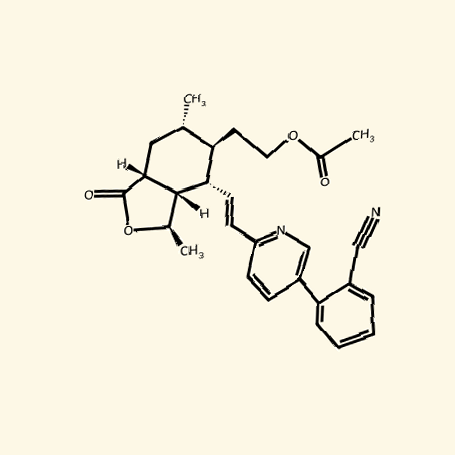 CC(=O)OCC[C@H]1[C@H](/C=C/c2ccc(-c3ccccc3C#N)cn2)[C@@H]2[C@@H](C)OC(=O)[C@@H]2C[C@@H]1C